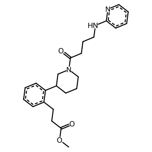 COC(=O)CCc1ccccc1C1CCCN(C(=O)CCCNc2ccccn2)C1